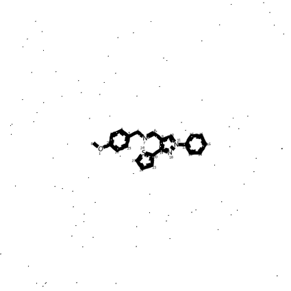 COc1ccc(CN=Cc2cn(-c3ccccc3)nc2-c2cccs2)cc1